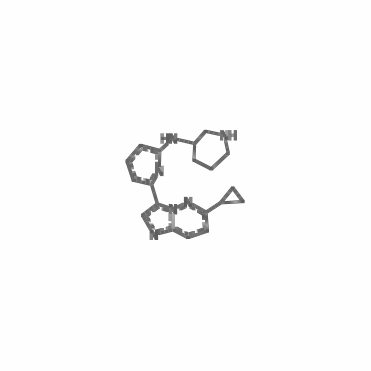 c1cc(NC2CCCNC2)nc(-c2cnc3ccc(C4CC4)nn23)c1